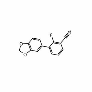 N#Cc1cccc(-c2ccc3c(c2)OCO3)c1F